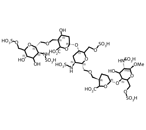 CO[C@H]1OC(COS(=O)(=O)O)[C@@H](O[C@H]2CC[C@H](COC[C@H]3OC(COS(=O)(=O)O)[C@@H](O[C@H]4C[C@H](O)[C@H](COC[C@H]5OC(COS(=O)(=O)O)[C@@H](O)C(O)[C@@H]5NS(=O)(=O)O)C(C(=O)O)O4)C[C@@H]3NS(=O)(=O)O)C(C(=O)O)O2)C(O)[C@@H]1NS(=O)(=O)O